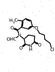 Cc1ccc(OCCCCCl)cc1C(=O)N(C=O)C1CCC(=O)NC1=O